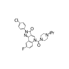 CC(C)N1CCN(C(=O)n2cc3c(=O)n(-c4ccc(Cl)cc4)nc-3c3cc(F)ccc32)CC1